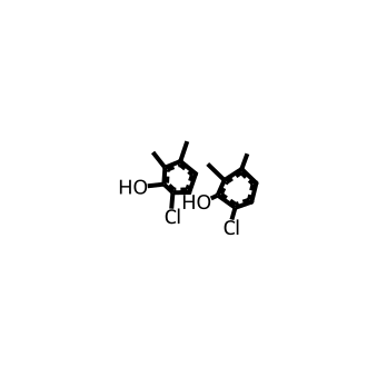 Cc1ccc(Cl)c(O)c1C.Cc1ccc(Cl)c(O)c1C